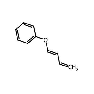 C=CC=COc1ccccc1